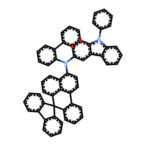 c1ccc(-c2ccccc2N(c2ccc3c(c2)c2ccccc2n3-c2ccccc2)c2ccc3c4c(cccc24)C2(c4ccccc4-c4ccccc42)c2ccccc2-3)cc1